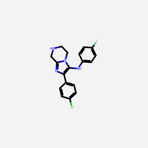 Fc1ccc(Nc2c(-c3ccc(Cl)cc3)nc3n2CCNC3)cc1